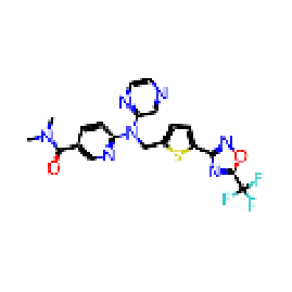 CN(C)C(=O)c1ccc(N(Cc2ccc(-c3noc(C(F)(F)F)n3)s2)c2cnccn2)nc1